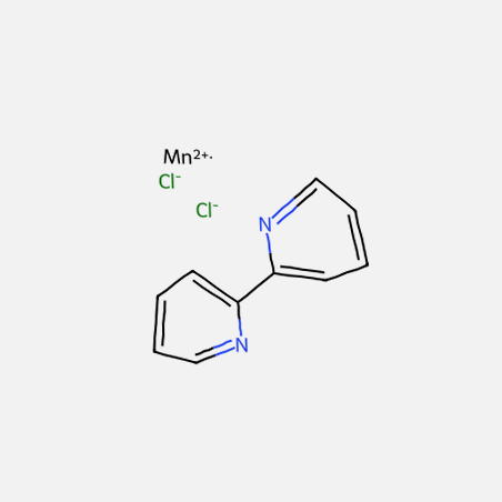 [Cl-].[Cl-].[Mn+2].c1ccc(-c2ccccn2)nc1